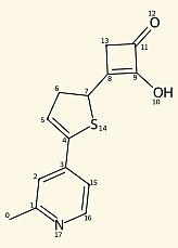 Cc1cc(C2=CCC(C3=C(O)C(=O)C3)S2)ccn1